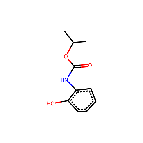 CC(C)OC(=O)Nc1ccccc1O